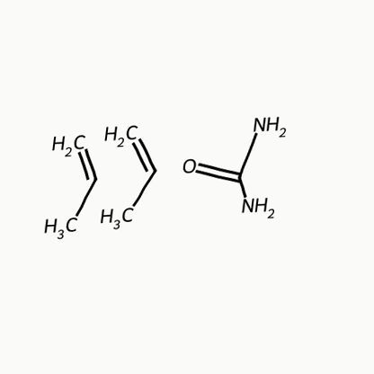 C=CC.C=CC.NC(N)=O